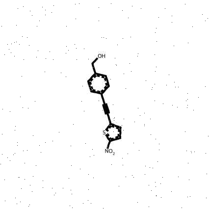 O=[N+]([O-])c1ccc(C#Cc2ccc(CO)cc2)s1